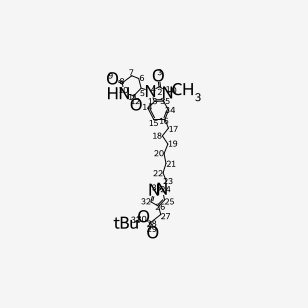 Cn1c(=O)n(C2CCC(=O)NC2=O)c2ccc(CCCCCCCn3cc(CC(=O)OC(C)(C)C)cn3)cc21